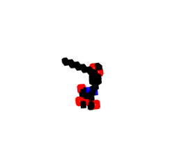 CCCCCCCCCCC1(c2ccc(CCCC(COC(C)=O)(COC(C)=O)NC(C)=O)cc2)OCCO1